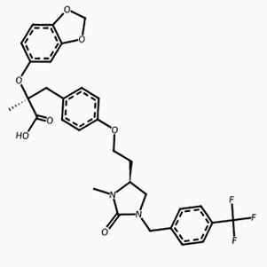 CN1C(=O)N(Cc2ccc(C(F)(F)F)cc2)C[C@@H]1CCOc1ccc(C[C@](C)(Oc2ccc3c(c2)OCO3)C(=O)O)cc1